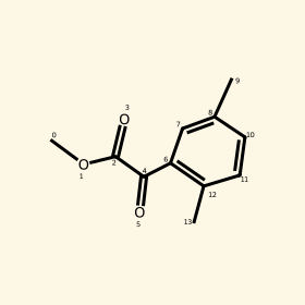 COC(=O)C(=O)c1cc(C)ccc1C